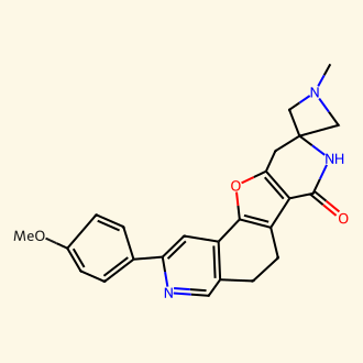 COc1ccc(-c2cc3c(cn2)CCc2c-3oc3c2C(=O)NC2(C3)CN(C)C2)cc1